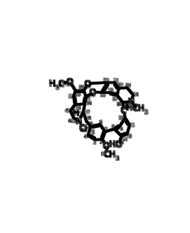 COc1ccc2cc1-c1cc(ccc1O)C[C@H]1c3cc4c(cc3CCN1C)Oc1c(OC)cc3c(c1O4)[C@@H](C2)N(C)CC3